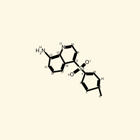 Cc1ccc(S(=O)(=O)c2ccnc3c(N)cccc23)cc1